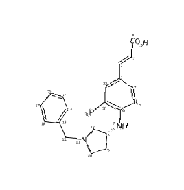 O=C(O)/C=C/c1cnc(N[C@@H]2CCN(Cc3ccccc3)C2)c(F)c1